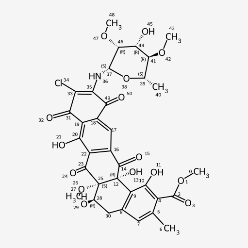 COC(=O)c1c(C)cc2c(c1O)[C@]1(O)C(=O)c3cc4c(c(O)c3C(=O)[C@]1(OC)[C@H](O)C2)C(=O)C(Cl)=C(N[C@H]1O[C@@H](C)[C@H](OC)[C@@H](O)[C@H]1OC)C4=O